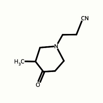 CC1CN(CCC#N)CCC1=O